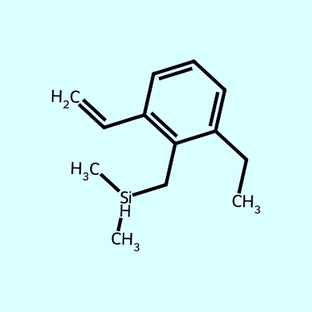 C=Cc1cccc(CC)c1C[SiH](C)C